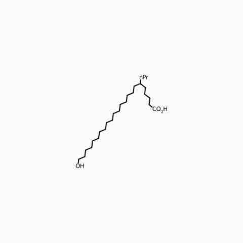 CCCC(CCCCCCCCCCCCCCCCCO)CCCCC(=O)O